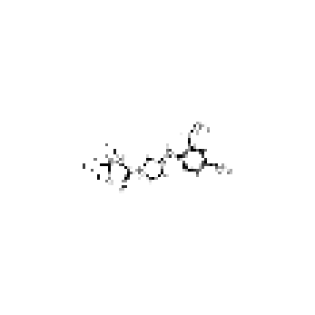 COc1cc(N)ccc1OC1CCN(C(=O)OC(C)(C)C)C1